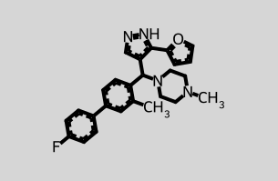 Cc1cc(-c2ccc(F)cc2)ccc1C(c1cn[nH]c1-c1ccco1)N1CCN(C)CC1